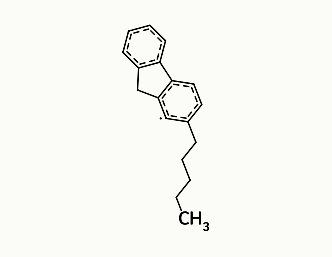 CCCCCc1[c]c2c(cc1)-c1ccccc1C2